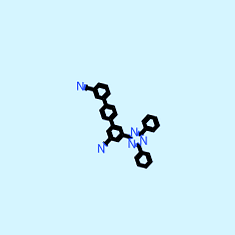 N#Cc1cccc(-c2ccc(-c3cc(C#N)cc(-c4nc(C5=CCCC=C5)nc(-c5ccccc5)n4)c3)cc2)c1